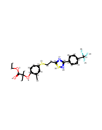 CCOC(=O)C(C)(C)Oc1ccc(SCCc2nc(-c3ccc(C(F)(F)F)cc3)ns2)cc1C